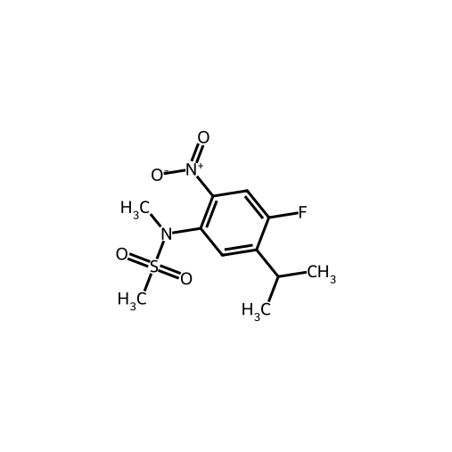 CC(C)c1cc(N(C)S(C)(=O)=O)c([N+](=O)[O-])cc1F